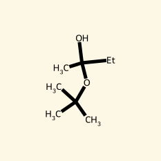 CCC(C)(O)OC(C)(C)C